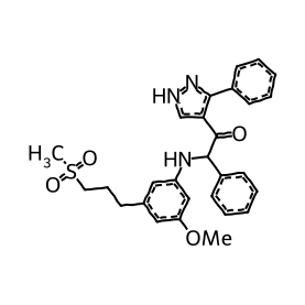 COc1cc(CCCS(C)(=O)=O)cc(NC(C(=O)c2c[nH]nc2-c2ccccc2)c2ccccc2)c1